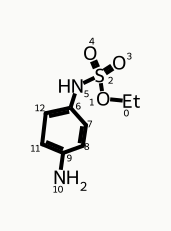 CCOS(=O)(=O)Nc1ccc(N)cc1